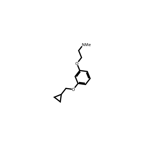 CNCCOc1cccc(OCC2CC2)c1